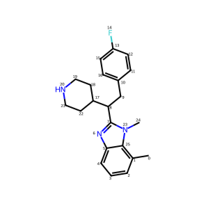 Cc1cccc2nc(C(Cc3ccc(F)cc3)C3CCNCC3)n(C)c12